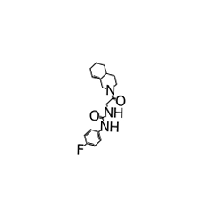 O=C(NCC(=O)N1CCC2CCCC=C2C1)Nc1ccc(F)cc1